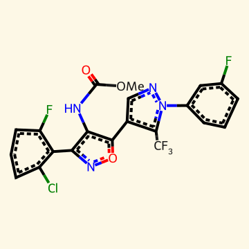 COC(=O)Nc1c(-c2c(F)cccc2Cl)noc1-c1cnn(-c2cccc(F)c2)c1C(F)(F)F